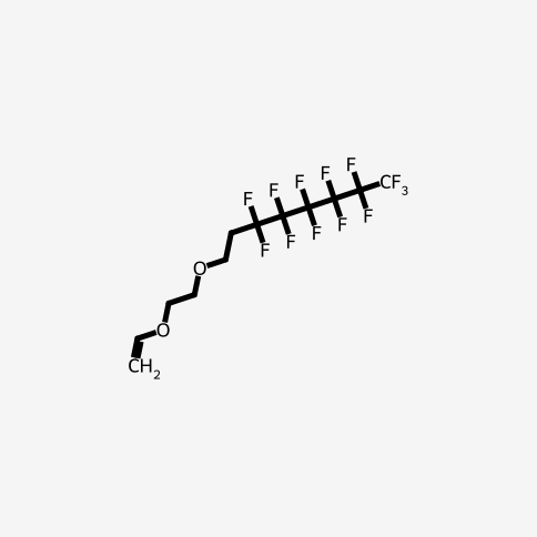 C=COCCOCCC(F)(F)C(F)(F)C(F)(F)C(F)(F)C(F)(F)C(F)(F)F